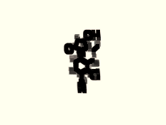 CC[C@H]1[C@H](O)CC(=O)N1c1ccc(C#N)c(Cl)c1C